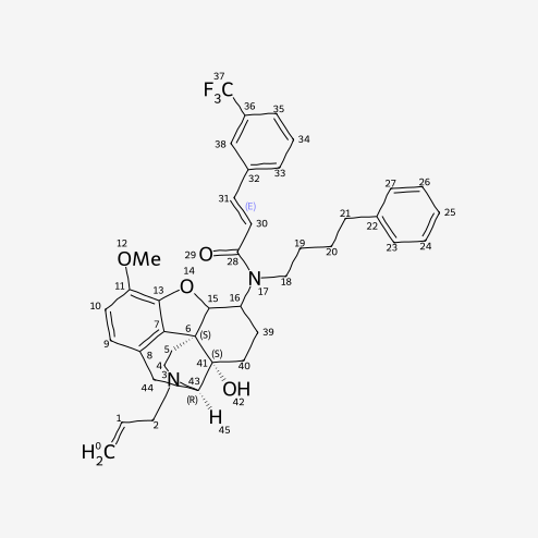 C=CCN1CC[C@]23c4c5ccc(OC)c4OC2C(N(CCCCc2ccccc2)C(=O)/C=C/c2cccc(C(F)(F)F)c2)CC[C@@]3(O)[C@H]1C5